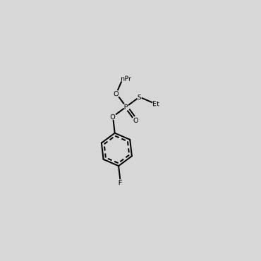 CCCOP(=O)(Oc1ccc(F)cc1)SCC